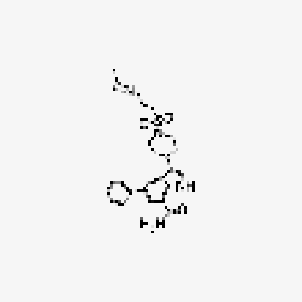 CC1CN1CCCS(=O)(=O)N1CCC(c2c[nH]c3c(C(N)=O)cc(-c4ccccc4)cc23)CC1